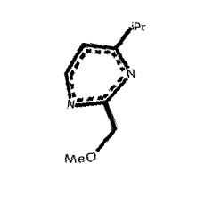 COCc1nccc(C(C)C)n1